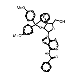 COc1ccc(C(OC2C(F)C(CO)OC2n2cnc3c(NC(=O)c4ccccc4)ncnc32)(c2ccccc2)c2ccc(OC)cc2)cc1